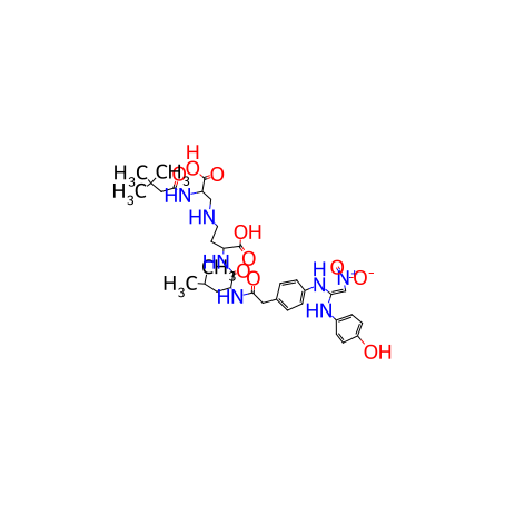 CC(C)CC(NC(=O)Cc1ccc(N/C(=C\[N+](=O)[O-])Nc2ccc(O)cc2)cc1)C(=O)NC(CCNCC(NC(=O)CC(C)(C)C)C(=O)O)C(=O)O